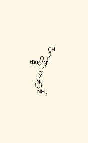 C#CCCCN(CCCOCCN1CCC(N)CC1)C(=O)OC(C)(C)C